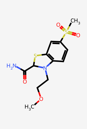 COCCN1c2ccc(S(C)(=O)=O)cc2SC1C(N)=O